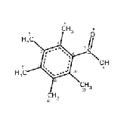 Cc1c(C)c(C)c(S(=O)O)c(C)c1C